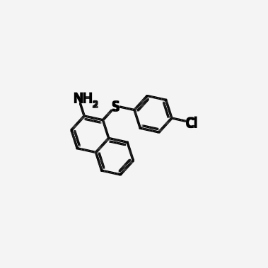 Nc1ccc2ccccc2c1Sc1ccc(Cl)cc1